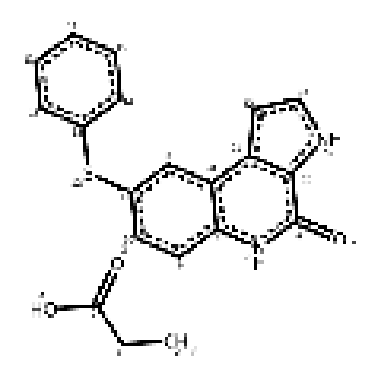 CCC(=O)O.O=c1[nH]c2ccc(Sc3ccccc3)cc2c2cc[nH]c12